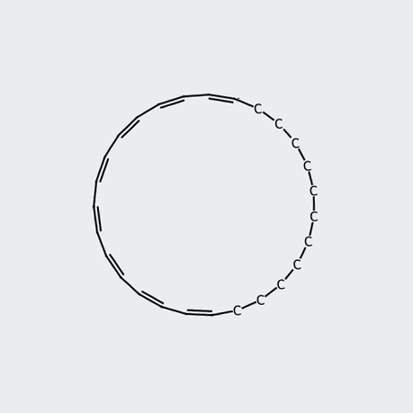 [C]1=C/C=C\C=C/C=C\C=C/C=C\C=C/C=C\CCCCCCCCCCC\1